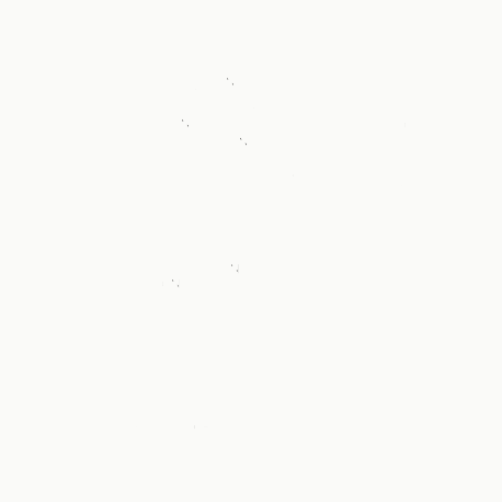 Cc1ccc(-c2ccc3c4ccc(-c5ccc(C(F)(F)F)cc5C(F)(F)F)cc4n(-c4cc(-c5nc(C)nc(C)n5)ccc4C#N)c3c2)c(C(F)(F)F)c1